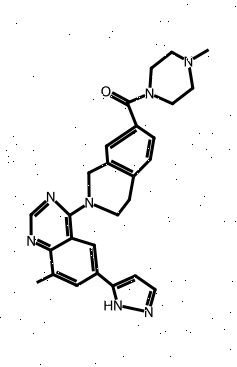 Cc1cc(-c2ccn[nH]2)cc2c(N3CCc4ccc(C(=O)N5CCN(C)CC5)cc4C3)ncnc12